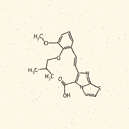 COc1cccc(C=Cc2nc3sccn3c2C(=O)O)c1OCC(C)C